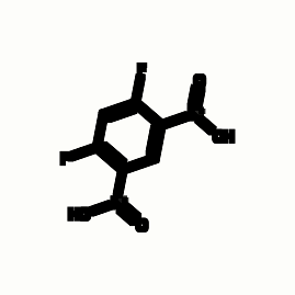 O=[N+](O)c1cc([N+](=O)O)c(F)cc1F